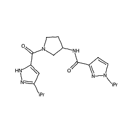 CC(C)c1cc(C(=O)N2CCC(NC(=O)c3ccn(C(C)C)n3)C2)[nH]n1